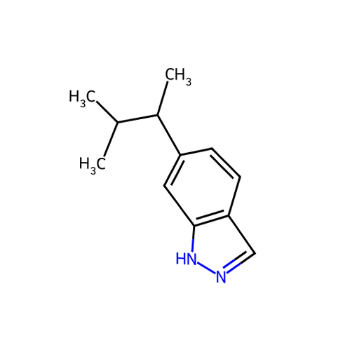 CC(C)C(C)c1ccc2cn[nH]c2c1